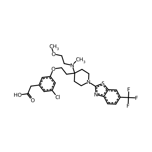 COCCN(C)C1(CCOc2cc(Cl)cc(CC(=O)O)c2)CCN(c2nc3ccc(C(F)(F)F)cc3s2)CC1